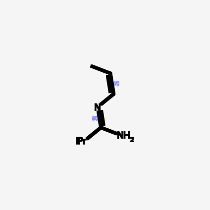 C/C=C\N=C(/N)C(C)C